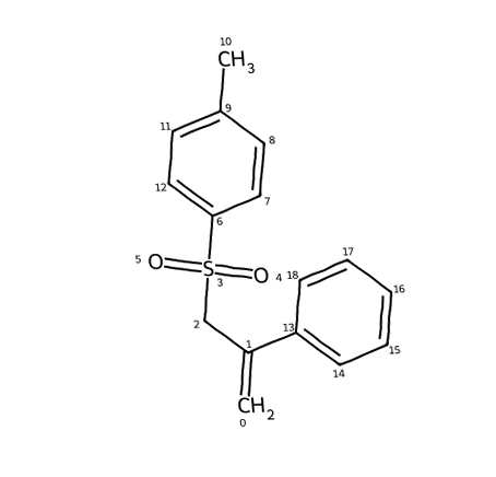 C=C(CS(=O)(=O)c1ccc(C)cc1)c1ccccc1